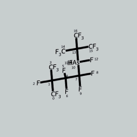 FC(F)(F)C(F)(C(F)(F)F)C(F)(F)C(F)(F)[AsH](F)(F)C(C(F)(F)F)(C(F)(F)F)C(F)(F)F